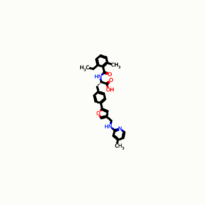 CCc1cccc(C)c1C(=O)N[C@@H](Cc1ccc(-c2cc(CNc3cc(C)ccn3)co2)cc1)C(=O)O